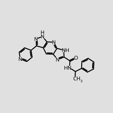 CC(NC(=O)c1nc2cc3c(-c4ccncc4)n[nH]c3nc2[nH]1)c1ccccc1